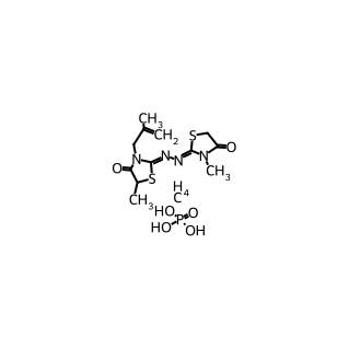 C.C=C(C)CN1C(=O)C(C)SC1=NN=C1SCC(=O)N1C.O=P(O)(O)O